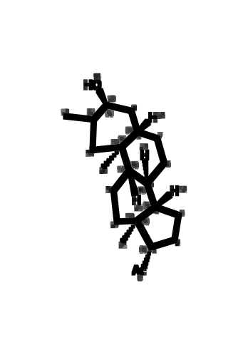 CC(=O)[C@H]1CC[C@H]2[C@@H]3CC[C@H]4C[C@H](O)C(C)C[C@]4(C)[C@H]3CC[C@]12C